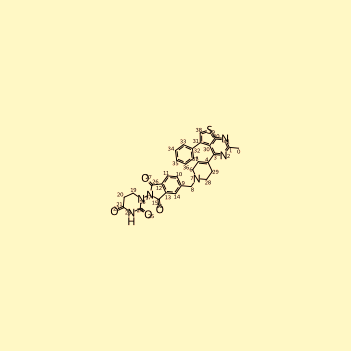 Cc1nc(C2=CCN(Cc3ccc4c(c3)C(=O)N(N3CCC(=O)NC3=O)C4=O)CC2)c2c(-c3ccccc3)csc2n1